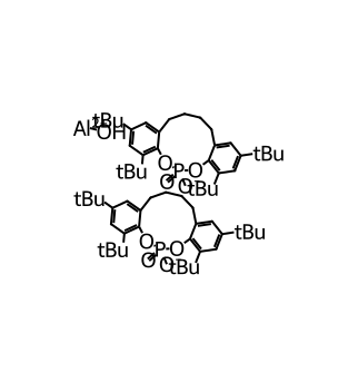 CC(C)(C)c1cc2c(c(C(C)(C)C)c1)OP(=O)([O-])Oc1c(cc(C(C)(C)C)cc1C(C)(C)C)CCCC2.CC(C)(C)c1cc2c(c(C(C)(C)C)c1)OP(=O)([O-])Oc1c(cc(C(C)(C)C)cc1C(C)(C)C)CCCC2.[OH][Al+2]